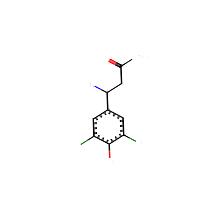 COC(=O)CC(N)c1cc(Cl)c(O)c(Cl)c1